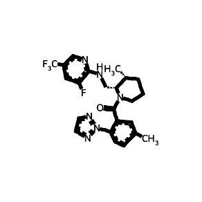 Cc1ccc(-n2nccn2)c(C(=O)N2CCC[C@@H](C)[C@H]2CNc2ncc(C(F)(F)F)cc2F)c1